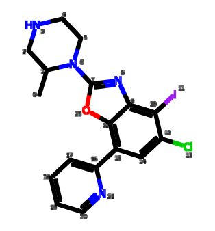 CC1CNCCN1c1nc2c(I)c(Cl)cc(-c3ccccn3)c2o1